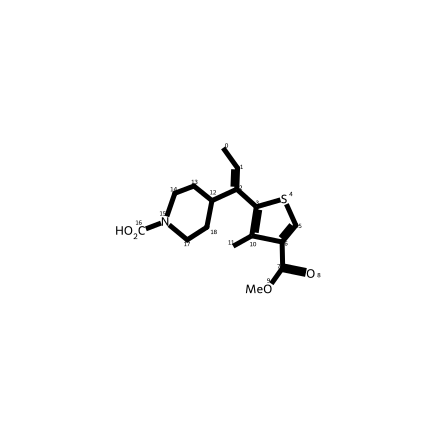 C/C=C(/c1scc(C(=O)OC)c1C)C1CCN(C(=O)O)CC1